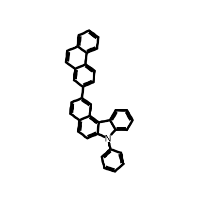 c1ccc(-n2c3ccccc3c3c4cc(-c5ccc6c(ccc7ccccc76)c5)ccc4ccc32)cc1